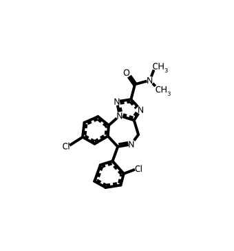 CN(C)C(=O)c1nc2n(n1)-c1ccc(Cl)cc1C(c1ccccc1Cl)=NC2